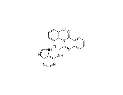 Cc1cccc2nc(CNc3ncnc4nc[nH]c34)n(-c3c(Cl)cccc3Cl)c(=O)c12